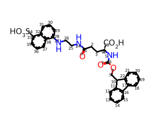 O=C(CC[C@H](NC(=O)OCC1c2ccccc2-c2ccccc21)C(=O)O)NCCNc1cccc2c(S(=O)(=O)O)cccc12